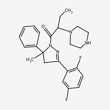 CCC(C(=O)N1N=C(c2cc(F)ccc2F)CC1(C)c1ccccc1)N1CCNCC1